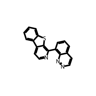 c1cc(-c2nccc3c2sc2ccccc23)c2nnccc2c1